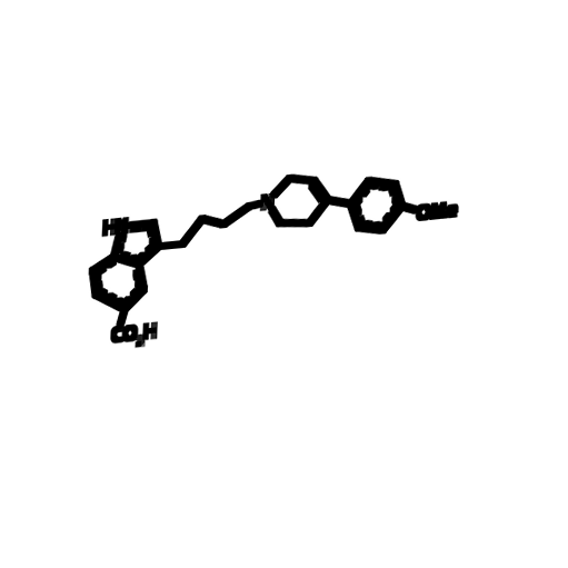 COc1ccc(C2=CCN(CCCCc3c[nH]c4ccc(C(=O)O)cc34)CC2)cc1